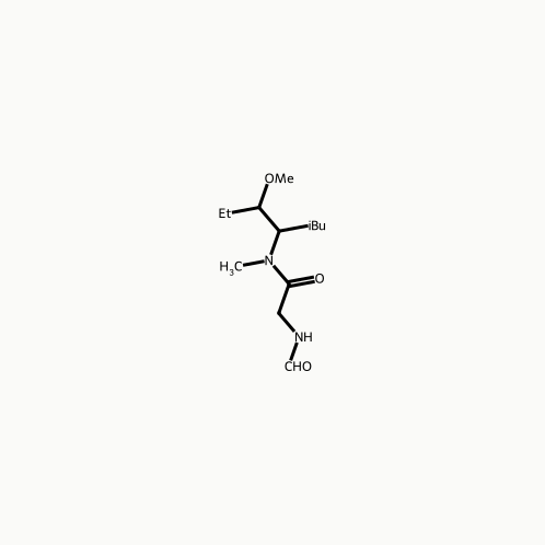 CCC(C)C(C(CC)OC)N(C)C(=O)CNC=O